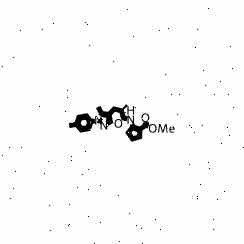 COC(=O)C1=C(NC(=O)[C@H](C)Cc2cnn(-c3ccc(C)cc3)c2C)CCC1